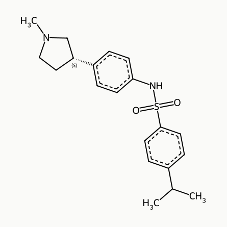 CC(C)c1ccc(S(=O)(=O)Nc2ccc([C@@H]3CCN(C)C3)cc2)cc1